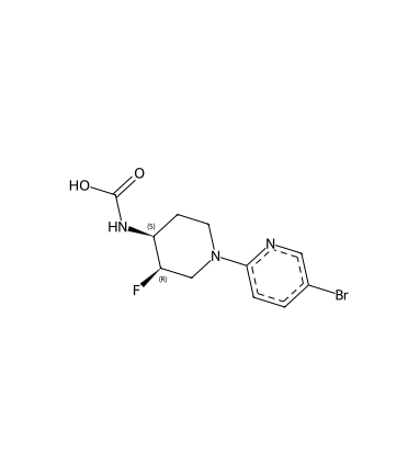 O=C(O)N[C@H]1CCN(c2ccc(Br)cn2)C[C@H]1F